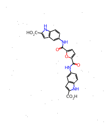 O=C(O)c1cc2cc(NC(=O)c3ccc(C(=O)Nc4ccc5[nH]c(C(=O)O)cc5c4)o3)ccc2[nH]1